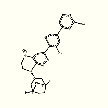 COc1cc(-c2ccc(-c3cc4c(nn3)N([C@@H]3C[C@H]5CC[C@@H](C3)N5)CCN4C)c(O)c2)ccn1